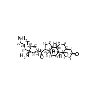 C[C@]12CCC(=O)C=C1CC[C@@H]1[C@@H]2CC[C@]2(C)C(C(=O)NCC(N)(CCCN)C(F)F)CC[C@@H]12